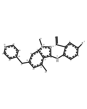 C=Cc1cc(F)ccc1Nc1nn(C)c2cc(Cc3ccncc3)cc(C)c12